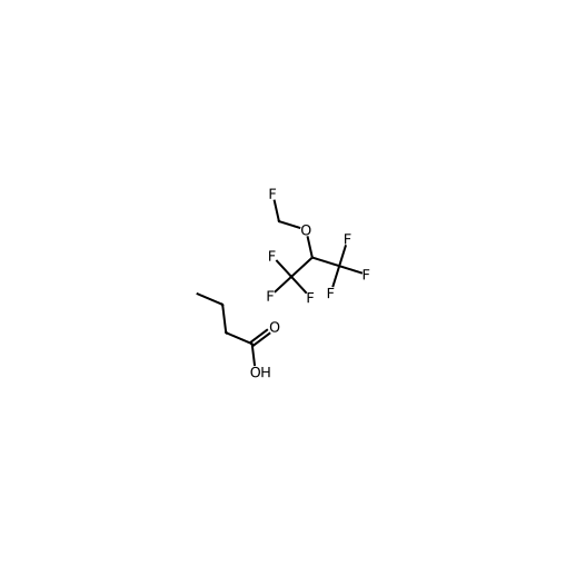 CCCC(=O)O.FCOC(C(F)(F)F)C(F)(F)F